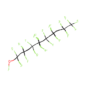 FOC(F)(F)C(F)(F)C(F)(F)C(F)(F)C(F)(F)C(F)(F)C(F)(F)C(F)(F)F